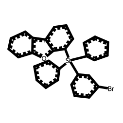 Brc1cccc([Si](c2ccccc2)(c2ccccc2)c2cccc3c2oc2ccccc23)c1